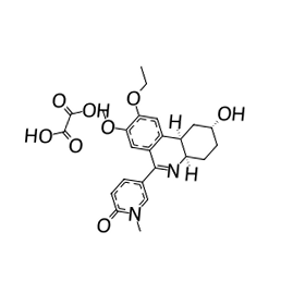 CCOc1cc2c(cc1OC)C(c1ccc(=O)n(C)c1)=N[C@@H]1CC[C@@H](O)C[C@H]21.O=C(O)C(=O)O